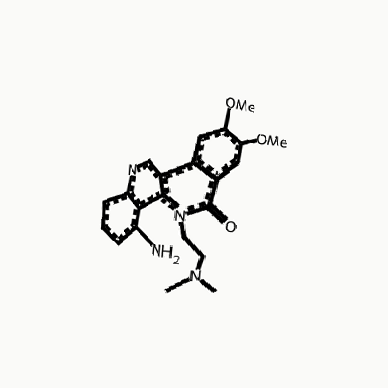 COc1cc2c(=O)n(CCN(C)C)c3c(cnc4cccc(N)c43)c2cc1OC